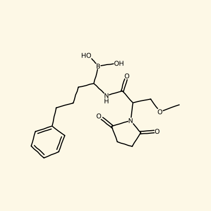 COCC(C(=O)NC(CCCc1ccccc1)B(O)O)N1C(=O)CCC1=O